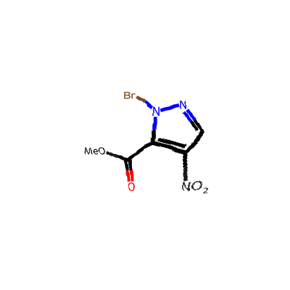 COC(=O)c1c([N+](=O)[O-])cnn1Br